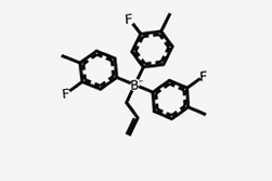 C=CC[B-](c1ccc(C)c(F)c1)(c1ccc(C)c(F)c1)c1ccc(C)c(F)c1